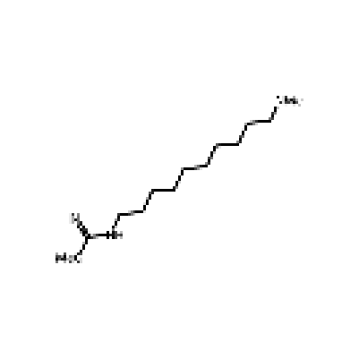 CNCCCCCCCCCCNC(=N)OC